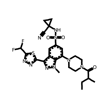 CCC(C)C(=O)N1CCN(c2cc(S(=O)(=O)NC3(C#N)CC3)cc3c(-c4nnc(C(F)F)s4)nn(C)c23)CC1